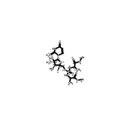 C=C1NC(=O)C=CN1[C@@H]1O[C@](F)(COP(=O)(NC(C)C(=O)OC(C)C)NC(C)C(=O)OC(C)C)[C@@H](O)[C@@]1(C)O